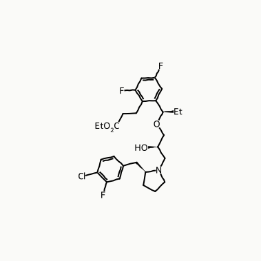 CCOC(=O)CCc1c(F)cc(F)cc1[C@@H](CC)OC[C@H](O)CN1CCC[C@H]1Cc1ccc(Cl)c(F)c1